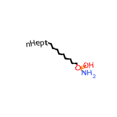 CCCCCCCCCCCCCCCCOP(N)O